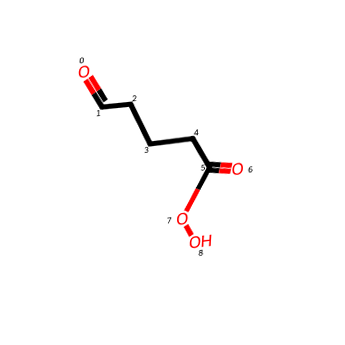 O=CCCCC(=O)OO